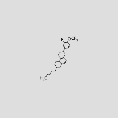 CC=CCCC1CCc2c(ccc3c2CCC(c2ccc(OC(F)(F)F)c(F)c2)C3)C1